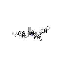 COCC(=O)Nc1cc2c(cc1F)/C(=C/c1[nH]c3c(c1C)C(=O)N(C[C@@H](O)CN1CCOCC1)CC3)C(=O)N2